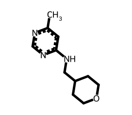 Cc1cc(NCC2CCOCC2)ncn1